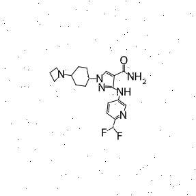 NC(=O)c1cn(C2CCC(N3CCC3)CC2)nc1Nc1ccc(C(F)F)nc1